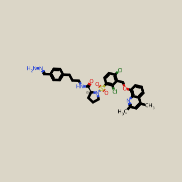 Cc1cc(C)c2cccc(OCc3c(Cl)ccc(S(=O)(=O)N4CCC[C@H]4C(=O)NCCCc4ccc(C=NN)cc4)c3Cl)c2n1